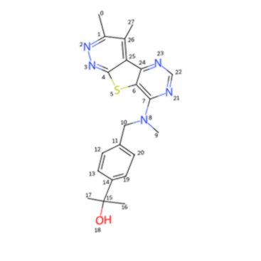 Cc1nnc2sc3c(N(C)Cc4ccc(C(C)(C)O)cc4)ncnc3c2c1C